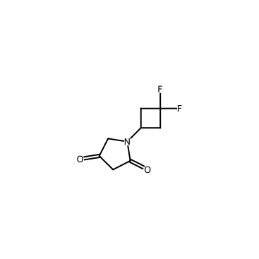 O=C1CC(=O)N(C2CC(F)(F)C2)C1